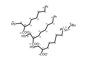 CC(C)CCCCCC(CS)C(=O)[O-].CC(C)CCCCCC(CS)C(=O)[O-].CC(C)CCCCCC(CS)C(=O)[O-].CCC[CH2][Sn+3]